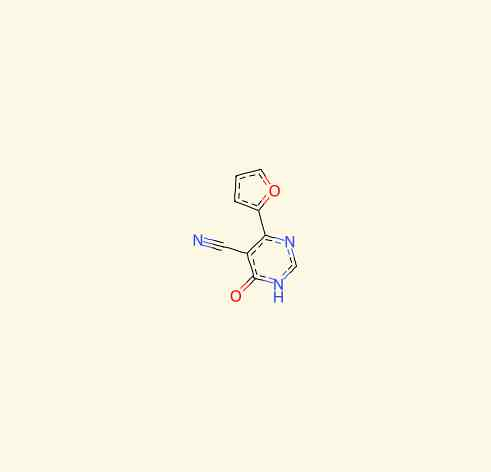 N#Cc1c(-c2ccco2)nc[nH]c1=O